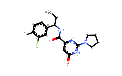 COCC(NC(=O)c1cc(=O)[nH]c(N2CCCC2)n1)c1ccc(C(F)(F)F)c(F)c1